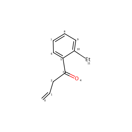 C=CCC(=O)c1ccccc1CC